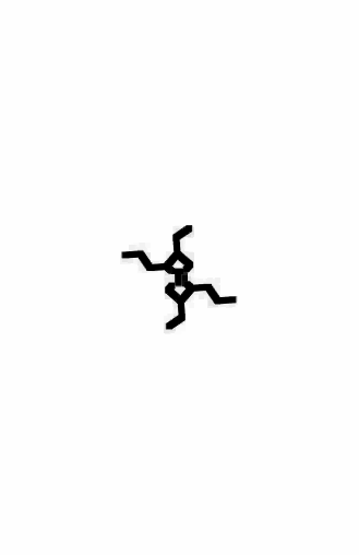 CCC[CH]1C(CC)[CH2][Ti]12[CH2]C(CC)[CH]2CCC